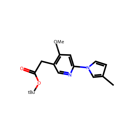 COc1cc(-n2ccc(C)c2)ncc1CC(=O)OC(C)(C)C